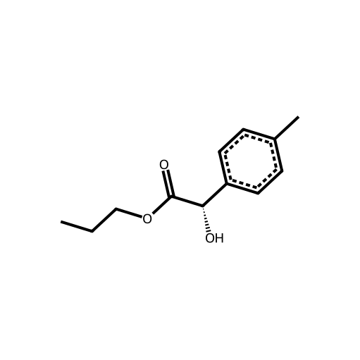 CCCOC(=O)[C@@H](O)c1ccc(C)cc1